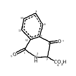 O=C1NC(C(=O)O)C(=O)c2ccccc21